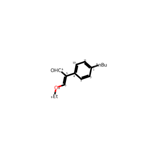 CCCCc1ccc(C(C=O)=COCC)cc1